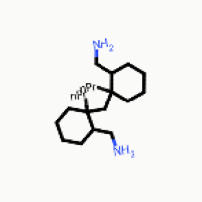 CCCC1(CC2(CCC)CCCCC2CN)CCCCC1CN